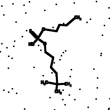 CCCCOP(O)(=S)OCCCCC(C)(C)C